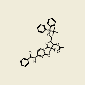 CC(=O)OC1C(CO[Si](c2ccccc2)(c2ccccc2)C(C)(C)C)OC(n2ccc(NC(=O)c3ccccc3)nc2=O)C1(F)F